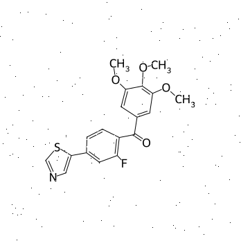 COc1cc(C(=O)c2ccc(-c3cncs3)cc2F)cc(OC)c1OC